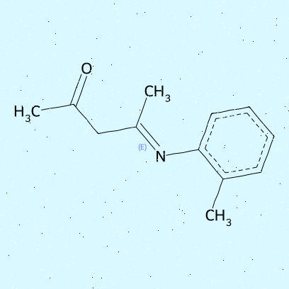 CC(=O)C/C(C)=N/c1ccccc1C